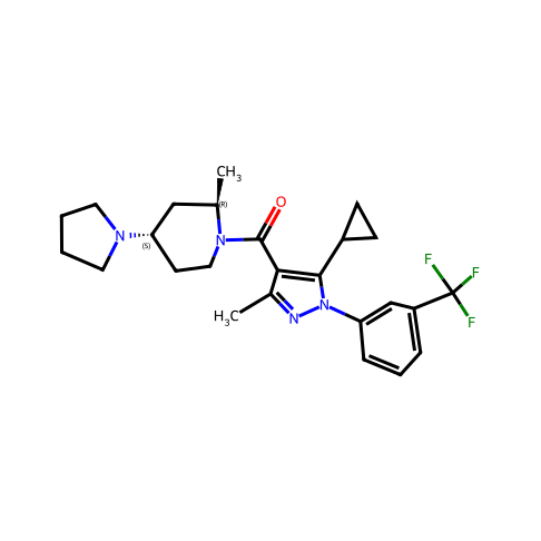 Cc1nn(-c2cccc(C(F)(F)F)c2)c(C2CC2)c1C(=O)N1CC[C@H](N2CCCC2)C[C@H]1C